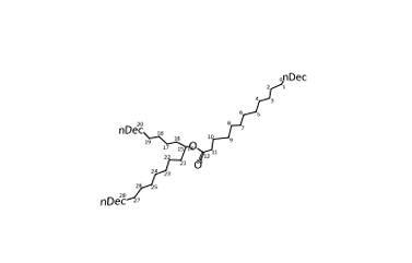 CCCCCCCCCCCCCCCCCCCCCC(=O)OC(CCCCCCCCCCCCCC)CCCCCCCCCCCCCCCCC